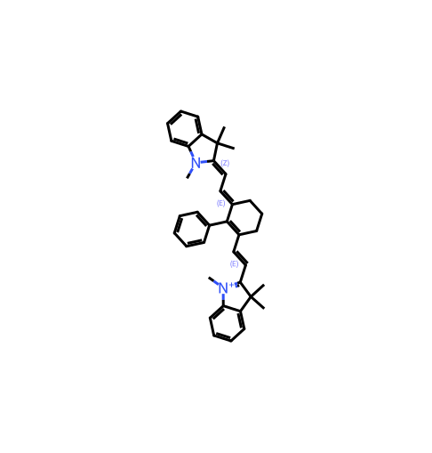 CN1/C(=C\C=C2/CCCC(/C=C/C3=[N+](C)c4ccccc4C3(C)C)=C2c2ccccc2)C(C)(C)c2ccccc21